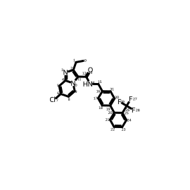 CCc1nc2cc(Cl)ccn2c1C(=O)NCc1ccc(-c2ccccc2C(F)(F)F)cc1